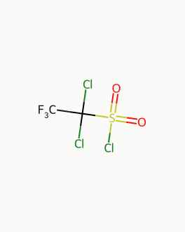 O=S(=O)(Cl)C(Cl)(Cl)C(F)(F)F